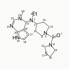 CCN(C1CCN(C(=O)N2CCSC2)CC1)C1c2cc[nH]c2N=CN1C